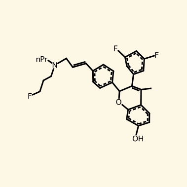 CCCN(C/C=C/c1ccc(C2Oc3cc(O)ccc3C(C)=C2c2cc(F)cc(F)c2)cc1)CCCF